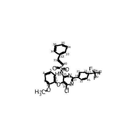 COc1ccccc1Oc1c(Cl)nc(-c2ccc(C(F)(F)F)cc2)nc1NS(=O)(=O)/C=C/c1ccccc1